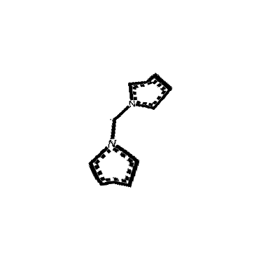 [CH](n1cccc1)n1cccc1